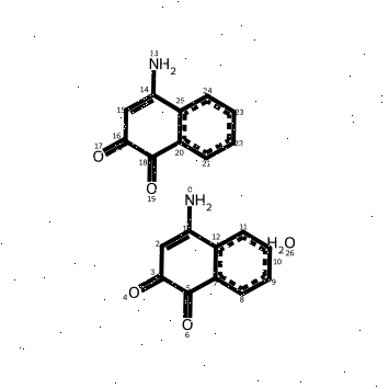 NC1=CC(=O)C(=O)c2ccccc21.NC1=CC(=O)C(=O)c2ccccc21.O